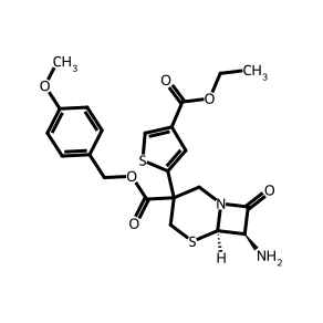 CCOC(=O)c1csc(C2(C(=O)OCc3ccc(OC)cc3)CS[C@@H]3[C@H](N)C(=O)N3C2)c1